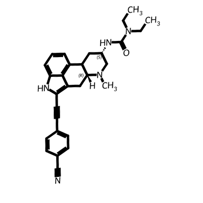 CCN(CC)C(=O)N[C@H]1CC2c3cccc4[nH]c(C#Cc5ccc(C#N)cc5)c(c34)C[C@H]2N(C)C1